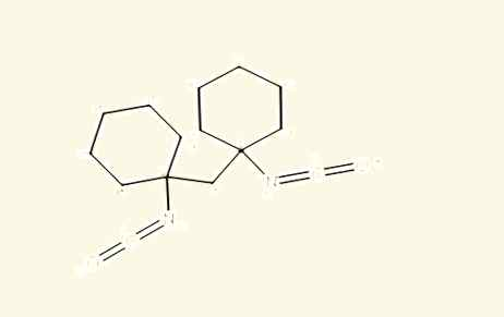 O=C=NC1([CH]C2(N=C=O)CCCCC2)CCCCC1